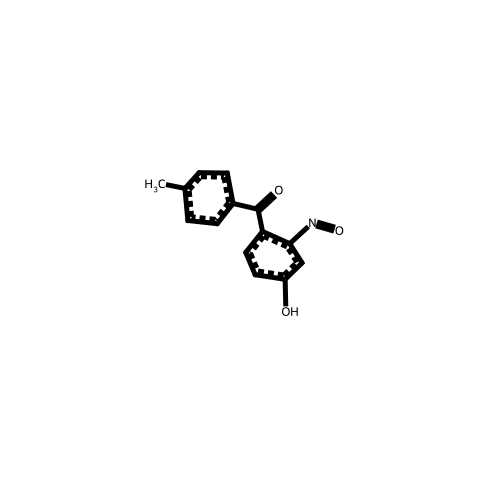 Cc1ccc(C(=O)c2ccc(O)cc2N=O)cc1